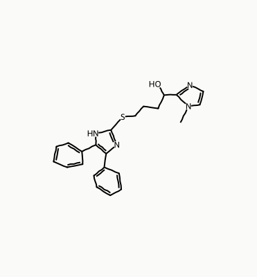 Cn1ccnc1C(O)CCCSc1nc(-c2ccccc2)c(-c2ccccc2)[nH]1